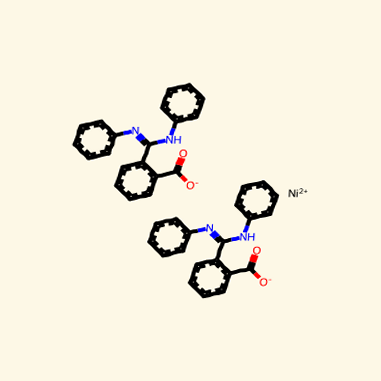 O=C([O-])c1ccccc1C(=Nc1ccccc1)Nc1ccccc1.O=C([O-])c1ccccc1C(=Nc1ccccc1)Nc1ccccc1.[Ni+2]